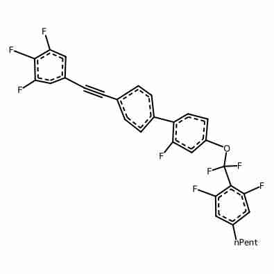 CCCCCc1cc(F)c(C(F)(F)Oc2ccc(-c3ccc(C#Cc4cc(F)c(F)c(F)c4)cc3)c(F)c2)c(F)c1